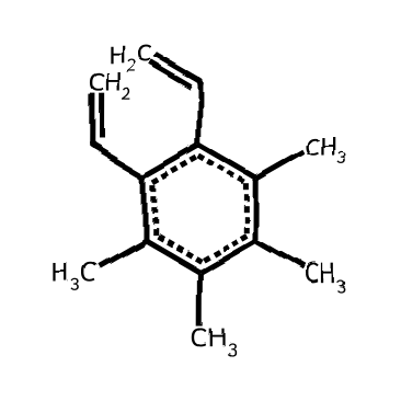 C=Cc1c(C)c(C)c(C)c(C)c1C=C